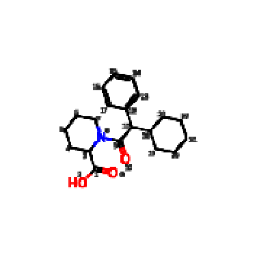 O=C(O)C1CCCCN1C(=O)C(c1ccccc1)C1CCCCC1